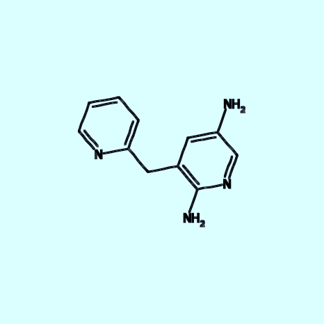 Nc1cnc(N)c(Cc2ccccn2)c1